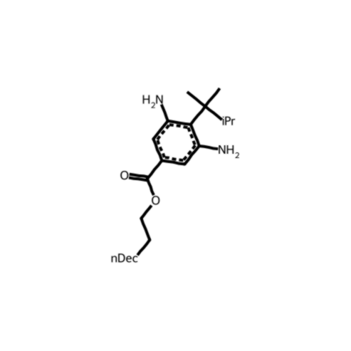 CCCCCCCCCCCCOC(=O)c1cc(N)c(C(C)(C)C(C)C)c(N)c1